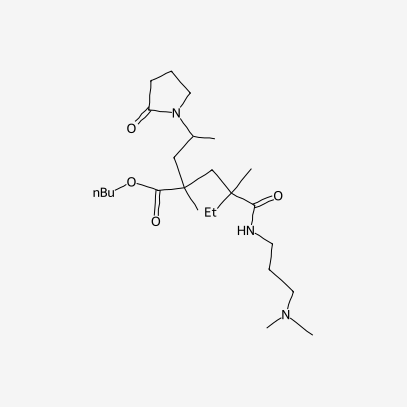 CCCCOC(=O)C(C)(CC(C)N1CCCC1=O)CC(C)(CC)C(=O)NCCCN(C)C